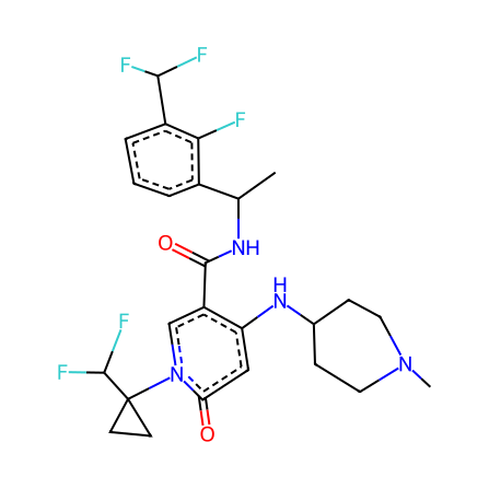 CC(NC(=O)c1cn(C2(C(F)F)CC2)c(=O)cc1NC1CCN(C)CC1)c1cccc(C(F)F)c1F